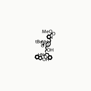 COC(=O)c1cccc(CN2CCN(C[C@@H](O)C[C@@H](Cc3ccccc3)C(=O)N[C@H]3c4ccccc4C[C@H]3O)[C@H](C(=O)NC(C)(C)C)C2)n1